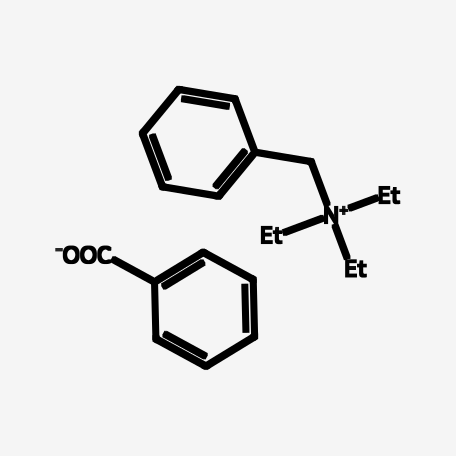 CC[N+](CC)(CC)Cc1ccccc1.O=C([O-])c1ccccc1